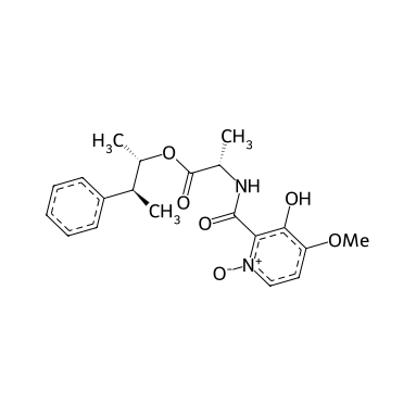 COc1cc[n+]([O-])c(C(=O)N[C@@H](C)C(=O)O[C@@H](C)[C@@H](C)c2ccccc2)c1O